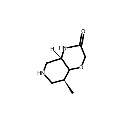 C[C@H]1CNC[C@H]2NC(=O)COC12